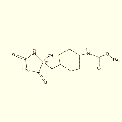 CC(C)(C)OC(=O)NC1CCC(C[C@]2(C)NC(=O)NC2=O)CC1